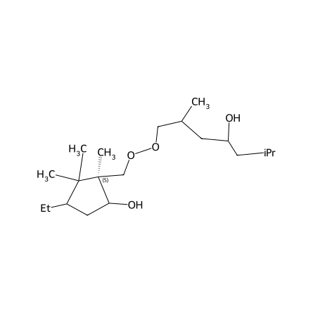 CCC1CC(O)[C@](C)(COOCC(C)CC(O)CC(C)C)C1(C)C